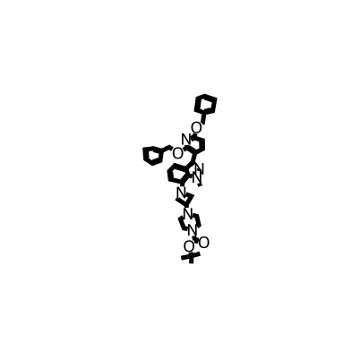 Cn1nc(-c2ccc(OCc3ccccc3)nc2OCc2ccccc2)c2cccc(N3CC(N4CCN(C(=O)OC(C)(C)C)CC4)C3)c21